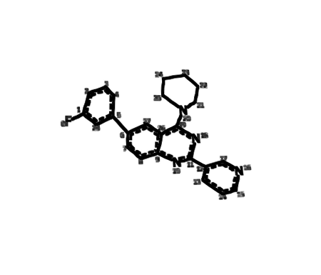 Fc1cccc(-c2ccc3nc(-c4cccnc4)nc(N4CCCCC4)c3c2)c1